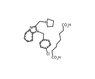 Clc1ccc(Cn2c(CN3CCCC3)nc3ccccc32)cc1.O=C(O)CCCCCCC(=O)O